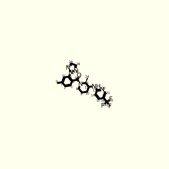 Cc1ccc(C(=O)N2CCCC(Nc3ccc(C(F)(F)F)cn3)[C@@H]2C)c(-n2nccn2)c1